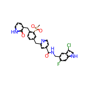 CS(=O)(=O)c1cc(Cc2cc(C(=O)NCc3cc4c(Cl)c[nH]c4cc3F)ccn2)ccc1Cc1ccc[nH]c1=O